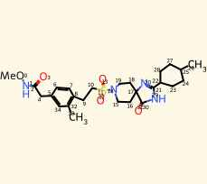 CONC(=O)Cc1ccc(CCS(=O)(=O)N2CCC3(CC2)N=C(C2CCC(C)CC2)NC3=O)c(C)c1